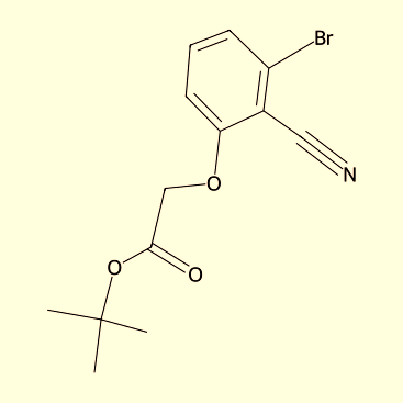 CC(C)(C)OC(=O)COc1cccc(Br)c1C#N